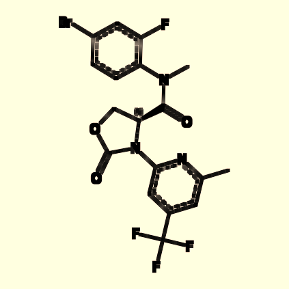 Cc1cc(C(F)(F)F)cc(N2C(=O)OC[C@H]2C(=O)N(C)c2ccc(Br)cc2F)n1